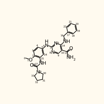 COc1ccc(Nc2ncc(C(N)=O)c(NCc3ccccc3)n2)cc1NC(=O)N1CCCC1